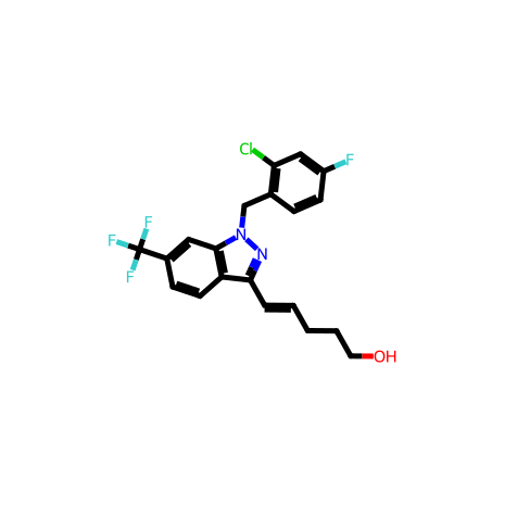 OCCCC=Cc1nn(Cc2ccc(F)cc2Cl)c2cc(C(F)(F)F)ccc12